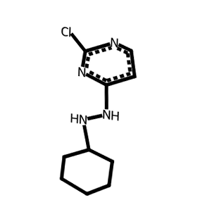 Clc1nccc(NNC2CCCCC2)n1